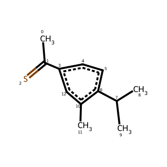 CC(=S)c1ccc(C(C)C)c(C)c1